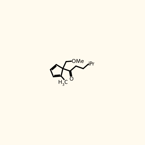 COCC1(C(=O)CCC(C)C)C=CC=C1C